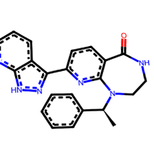 C[C@@H](c1ccccc1)N1CCNC(=O)c2ccc(-c3n[nH]c4ncccc34)nc21